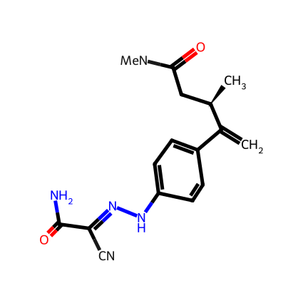 C=C(c1ccc(N/N=C(\C#N)C(N)=O)cc1)[C@H](C)CC(=O)NC